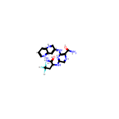 NC(=O)c1ncc(NC(CC(F)(F)F)C(N)=O)nc1Nc1cnc2cccnc2c1